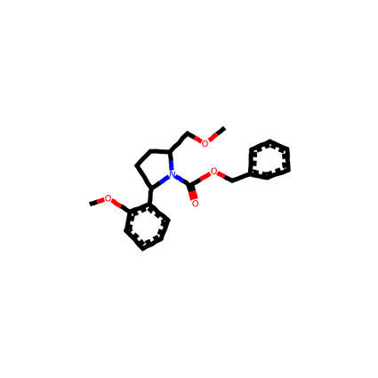 COCC1CCC(c2ccccc2OC)N1C(=O)OCc1ccccc1